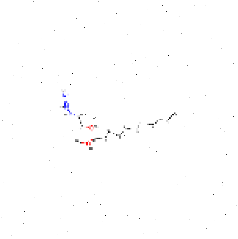 CCCCCCCCCCC(OC)OCCN=[N+]=[N-]